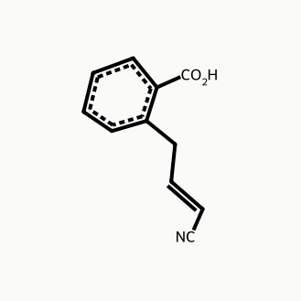 N#C/C=C/Cc1ccccc1C(=O)O